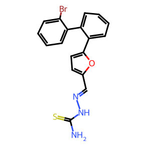 NC(=S)NN=Cc1ccc(-c2ccccc2-c2ccccc2Br)o1